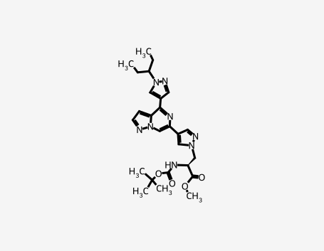 CCC(CC)n1cc(-c2nc(-c3cnn(C[C@H](NC(=O)OC(C)(C)C)C(=O)OC)c3)cn3nccc23)cn1